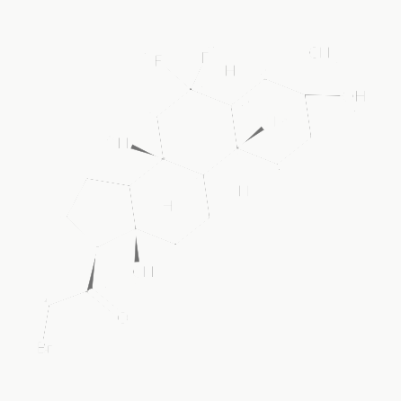 C[C@]1(O)CC[C@@H]2[C@H]3CC[C@]4(C)[C@@H](C(=O)CBr)CC[C@H]4[C@@H]3CC(F)(F)[C@H]2C1